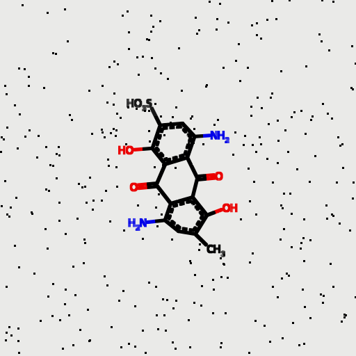 Cc1cc(N)c2c(c1O)C(=O)c1c(N)cc(S(=O)(=O)O)c(O)c1C2=O